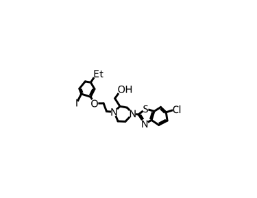 CCC1C=C(OCCN2CCN(c3nc4ccc(Cl)cc4s3)CC2CO)C(I)=CC1